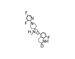 NC1(COc2ccc(F)c3c2CCC(=O)N3)CCN(c2ncc(F)cc2F)CC1